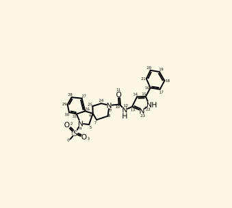 CS(=O)(=O)N1CC2(CCN(C(=O)Nc3cc(-c4ccccc4)[nH]n3)CC2)c2ccccc21